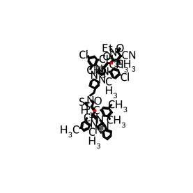 CCN1C(=O)C(C#N)=C(C)/C(=C/C=C2/N(c3c(C)cc(Cl)cc3C)c3nc4ccc(CCN5C(=O)/C(=C/C=C6N(c7c(C)cc(C)cc7C)c7nc8ccccc8nc7N6c6c(C)cc(C)cc6C)SC5=S)cc4nc3N2c2c(C)cc(Cl)cc2C)C1=O